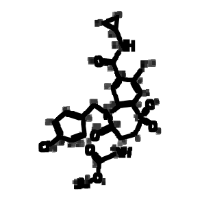 CC(C)(C)OC(=O)N[C@H]1CS(=O)(=O)c2cc(F)c(C(=O)NC3CC3)cc2N(Cc2ccc(Cl)cc2)C1=O